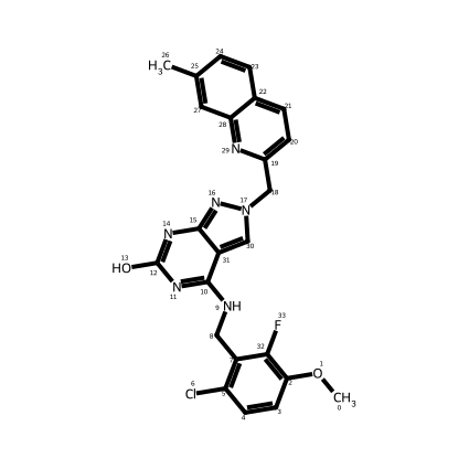 COc1ccc(Cl)c(CNc2nc(O)nc3nn(Cc4ccc5ccc(C)cc5n4)cc23)c1F